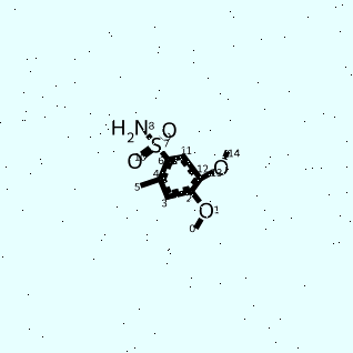 COc1cc(C)c(S(N)(=O)=O)cc1OC